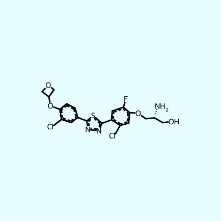 N[C@H](CO)COc1cc(Cl)c(-c2nnc(-c3ccc(OC4COC4)c(Cl)c3)s2)cc1F